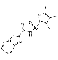 Cc1sc(S(=O)(=O)NC(=O)c2cn3ccccc3n2)c(C)c1C